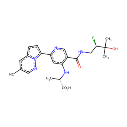 C[C@H](Nc1cc(-c2ccc3cc(C#N)cnn23)ncc1C(=O)NC[C@@H](F)C(C)(C)O)C(=O)O